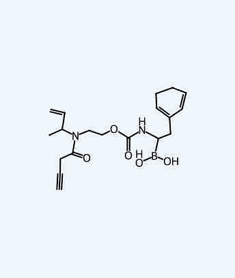 C#CCC(=O)N(CCOC(=O)NC(CC1=CCCC=C1)B(O)O)C(C)C=C